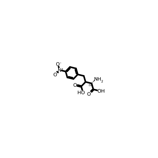 N[C@H](C(=O)O)C(Cc1ccc([N+](=O)[O-])cc1)C(=O)O